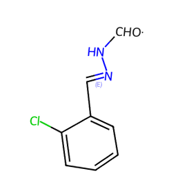 O=[C]N/N=C/c1ccccc1Cl